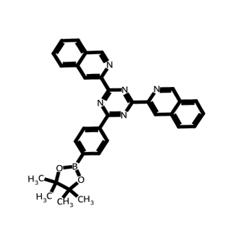 CC1(C)OB(c2ccc(-c3nc(-c4cc5ccccc5cn4)nc(-c4cc5ccccc5cn4)n3)cc2)OC1(C)C